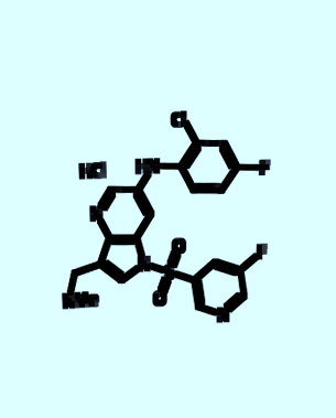 CNCc1cn(S(=O)(=O)c2cncc(F)c2)c2cc(Nc3ccc(F)cc3Cl)cnc12.Cl